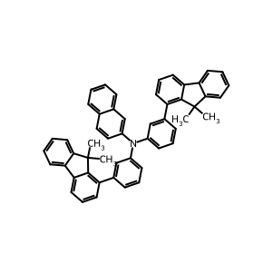 CC1(C)c2ccccc2-c2cccc(-c3cccc(N(c4cccc(-c5cccc6c5C(C)(C)c5ccccc5-6)c4)c4ccc5ccccc5c4)c3)c21